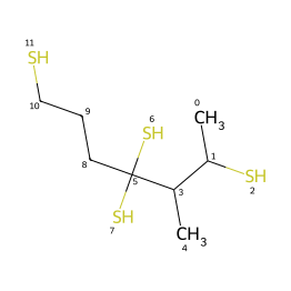 CC(S)C(C)C(S)(S)CCCS